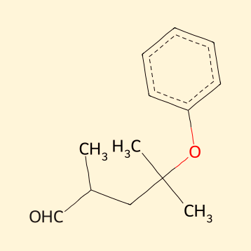 CC(C=O)CC(C)(C)Oc1ccccc1